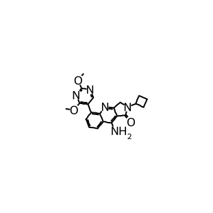 COc1ncc(-c2cccc3c(N)c4c(nc23)CN(C2CCC2)C4=O)c(OC)n1